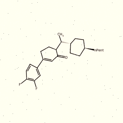 CCCCC[C@H]1CC[C@H](C(C)C2CCC(c3ccc(F)c(F)c3)=CC2=O)CC1